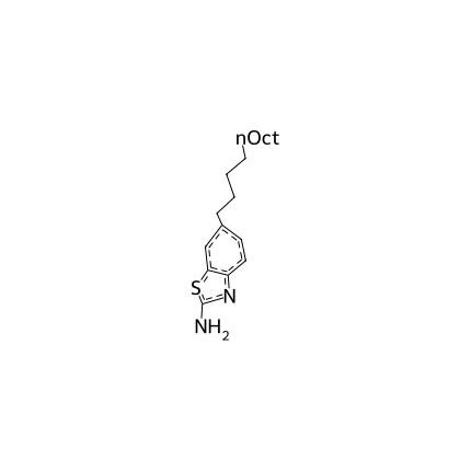 CCCCCCCCCCCCc1ccc2nc(N)sc2c1